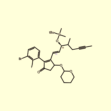 CC#CCC(C)[C@@H](/C=C/C1=C(c2cccc(Br)c2F)C(=O)CC1OC1CCCCO1)O[Si](C)(C)C(C)(C)C